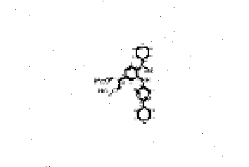 CCN(c1ccc([C@@H](COC)CC(=O)O)cc1Nc1cnc(C2CCOCC2)nc1)C1CCOCC1